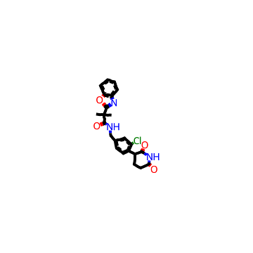 CC(C)(C(=O)NCc1ccc(C2CCC(=O)NC2=O)c(Cl)c1)c1nc2ccccc2o1